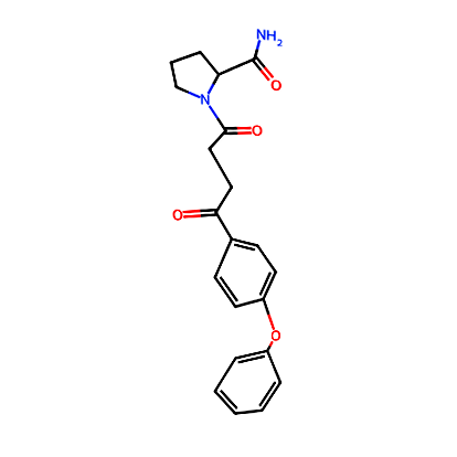 NC(=O)C1CCCN1C(=O)CCC(=O)c1ccc(Oc2ccccc2)cc1